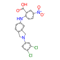 O=C(O)c1cc([N+](=O)[O-])ccc1Nc1ccc2c(c1)CN(c1ccc(Cl)c(Cl)c1)C2